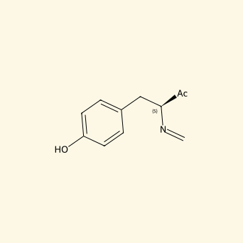 C=N[C@@H](Cc1ccc(O)cc1)C(C)=O